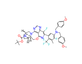 COc1ccc(CN(Cc2ccc(OC)cc2)c2cc(-c3nc4c5c(ncnc5c3F)N3C[C@H]5CC[C@@H]([C@H]3CO4)N5C(=O)OC(C)(C)C)c(C(F)(F)F)c(C)c2F)cc1